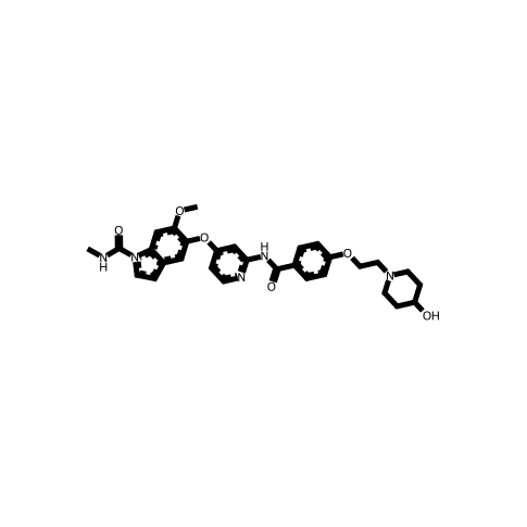 CNC(=O)n1ccc2cc(Oc3ccnc(NC(=O)c4ccc(OCCN5CCC(O)CC5)cc4)c3)c(OC)cc21